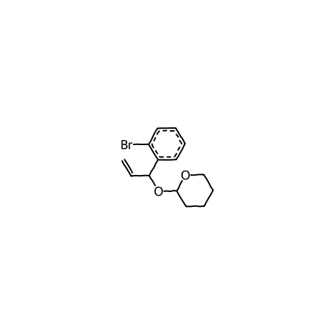 C=CC(OC1CCCCO1)c1ccccc1Br